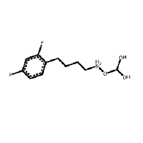 OC(O)O[SiH2]CCCCc1ccc(F)cc1F